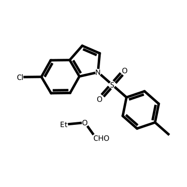 CCOC=O.Cc1ccc(S(=O)(=O)n2ccc3cc(Cl)ccc32)cc1